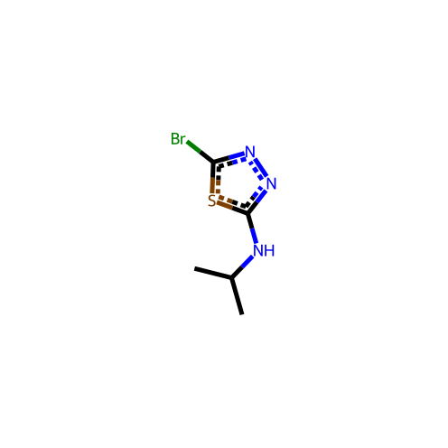 CC(C)Nc1nnc(Br)s1